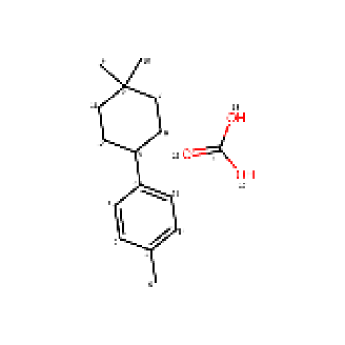 Cc1ccc(C2CCC(C)(C)CC2)cc1.O=C(O)O